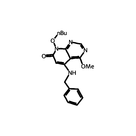 CCCCOn1c(=O)cc(NCc2ccccc2)c2c(OC)ncnc21